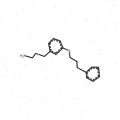 NCCCc1cccc(OCCCc2ccccc2)c1